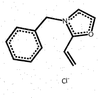 C=Cc1occ[n+]1Cc1ccccc1.[Cl-]